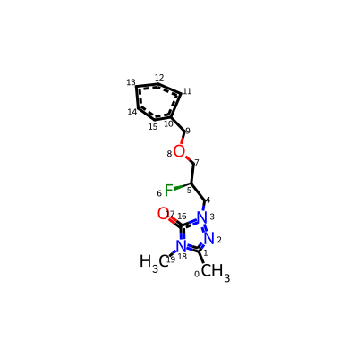 Cc1nn(C[C@@H](F)COCc2ccccc2)c(=O)n1C